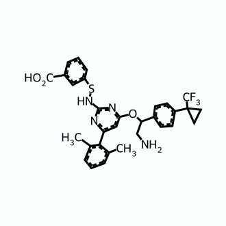 Cc1cccc(C)c1-c1cc(OC(CN)c2ccc(C3(C(F)(F)F)CC3)cc2)nc(NSc2cccc(C(=O)O)c2)n1